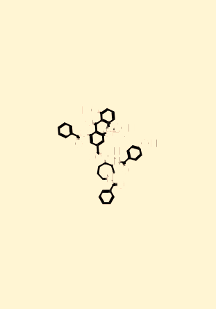 O=C(N[C@@H]1CN(C(=O)c2ccccc2)CCC[C@H]1OC(=O)c1cc(O)c(C(=O)c2c(O)cccc2C(=O)O)c(OC(=O)c2ccccc2)c1)c1ccc(O)cc1